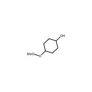 COOC1CCC(O)CC1